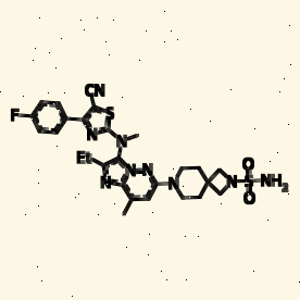 CCc1nc2c(C)cc(N3CCC4(CC3)CN(S(N)(=O)=O)C4)nn2c1N(C)c1nc(-c2ccc(F)cc2)c(C#N)s1